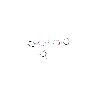 Cc1ccc(C(=O)/N=C(/Nc2cc(F)cc(Cl)c2)NC2CCC(NC(=O)c3ccccc3)CC2)cc1